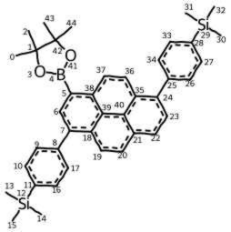 CC1(C)OB(c2cc(-c3ccc([Si](C)(C)C)cc3)c3ccc4ccc(-c5ccc([Si](C)(C)C)cc5)c5ccc2c3c45)OC1(C)C